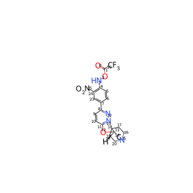 O=C(ONc1ccc(-c2ccc(O[C@H]3CN4CCC3CC4)nn2)cc1[N+](=O)[O-])C(F)(F)F